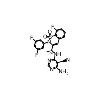 C[C@H](Nc1ncnc(N)c1C#N)C1=Cc2cccc(F)c2S(=O)(=O)N1c1cc(F)cc(F)c1